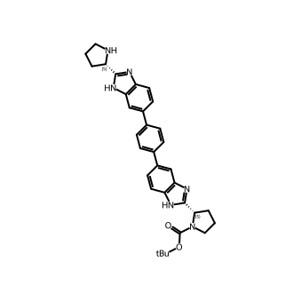 CC(C)(C)OC(=O)N1CCC[C@H]1c1nc2cc(-c3ccc(-c4ccc5nc([C@@H]6CCCN6)[nH]c5c4)cc3)ccc2[nH]1